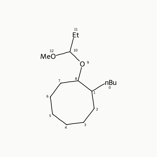 CCCCC1CCCCCCC1OC(CC)OC